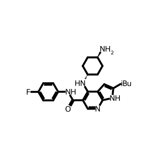 CCC(C)c1cc2c(N[C@H]3CC[C@H](N)CC3)c(C(=O)Nc3ccc(F)cc3)cnc2[nH]1